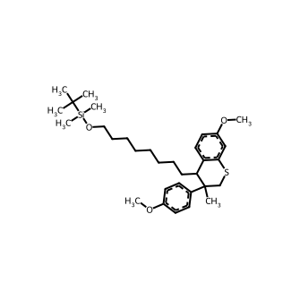 COc1ccc(C2(C)CSc3cc(OC)ccc3C2CCCCCCCCO[Si](C)(C)C(C)(C)C)cc1